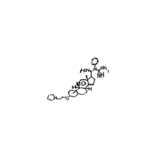 C[C@]12CCC(OCCN3CCCC3)CC1CC[C@@H]1[C@H]2CC[C@]2(C)C(C(=N)N(C(=N)N)c3ccccc3)CC[C@@]12O